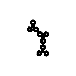 c1ccc(N(c2ccccc2)c2ccc(-c3ccc(-n4c5ccccc5c5cc(-c6ccc7c(c6)c6ccccc6n7-c6ccccc6)ccc54)cc3)cc2)cc1